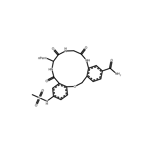 CCCCCC1NC(=O)c2cc(NS(C)(=O)=O)ccc2OCc2ccc(C(N)=O)cc2NC(=O)CNC1=O